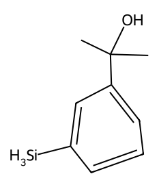 CC(C)(O)c1cccc([SiH3])c1